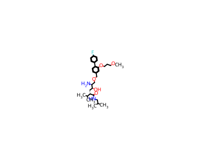 COCCCOc1cc(COC[C@H](N)[C@@H](O)C[C@H](C(=O)NCC(C)C)C(C)C)ccc1-c1ccc(F)cc1